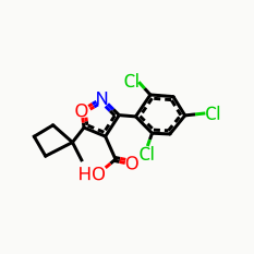 CC1(c2onc(-c3c(Cl)cc(Cl)cc3Cl)c2C(=O)O)CCC1